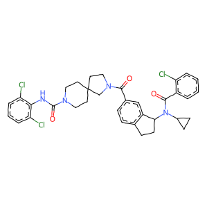 O=C(Nc1c(Cl)cccc1Cl)N1CCC2(CC1)CCN(C(=O)c1ccc3c(c1)C(N(C(=O)c1ccccc1Cl)C1CC1)CC3)C2